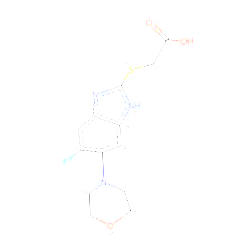 O=C(O)CSc1nc2cc(F)c(N3CCOCC3)cc2[nH]1